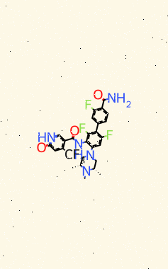 C[C@@H]1CN(c2cc(F)c(-c3ccc(C(N)=O)c(F)c3)c(F)c2NC(=O)c2c[nH]c(=O)cc2C(F)(F)F)C[C@H](C)N1C